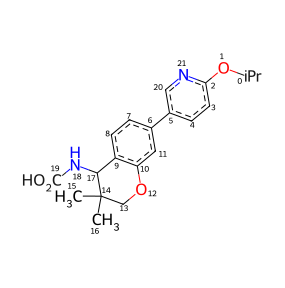 CC(C)Oc1ccc(-c2ccc3c(c2)OCC(C)(C)C3NC(=O)O)cn1